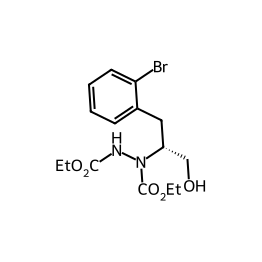 CCOC(=O)NN(C(=O)OCC)[C@@H](CO)Cc1ccccc1Br